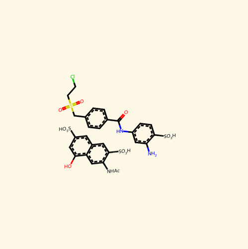 CC(=O)Nc1cc2c(O)cc(S(=O)(=O)O)cc2cc1S(=O)(=O)O.Nc1cc(NC(=O)c2ccc(CS(=O)(=O)CCCl)cc2)ccc1S(=O)(=O)O